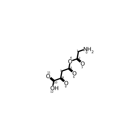 NCC(=O)OC(=O)CC(=O)C(=O)O